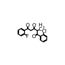 CC(C(=O)CC(=O)c1ccccc1F)C(=O)c1ccccc1Cl